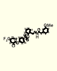 COc1cccc(CC(=O)N/N=C/c2ccccc2OS(=O)(=O)c2ccc(Oc3ncc(C(F)(F)F)cc3Cl)cc2)c1